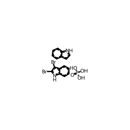 Brc1[nH]c2ccccc2c1Br.O=P(O)(O)O.c1ccc2[nH]ccc2c1